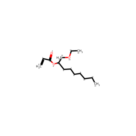 C=CC(=O)OC(CCCCCCC)[SiH2]OCC